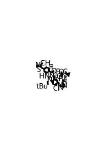 Cc1ncsc1-c1ccc(C(=O)N(C(=N)NCCC(C)(C)C)[C@H](COC(=O)NC2(C(F)(F)F)CC2)c2ccc(Cl)c(-n3ncnc3C(F)F)c2)c(F)c1